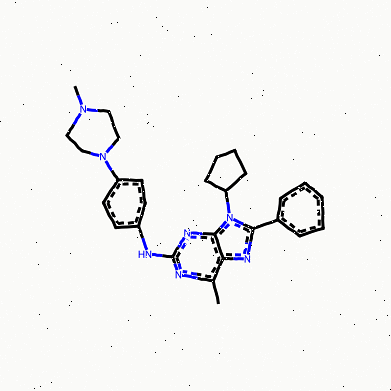 Cc1nc(Nc2ccc(N3CCN(C)CC3)cc2)nc2c1nc(-c1ccccc1)n2C1CCCC1